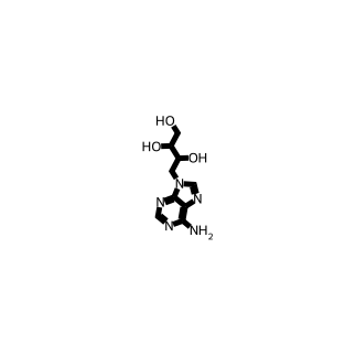 Nc1ncnc2c1ncn2CC(O)C(O)CO